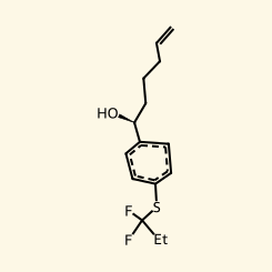 C=CCCC[C@H](O)c1ccc(SC(F)(F)CC)cc1